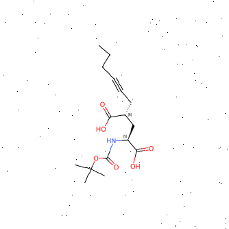 CCCC#CC[C@H](C[C@H](NC(=O)OC(C)(C)C)C(=O)O)C(=O)O